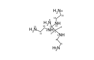 CC(C)(NCCN)C(N)(NCCN)NCCN